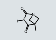 CC12CN(C1)C(=O)N(I)C2=O